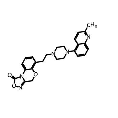 Cc1ccc2c(N3CCN(CCc4cccc5c4OCc4noc(=O)n4-5)CC3)cccc2n1